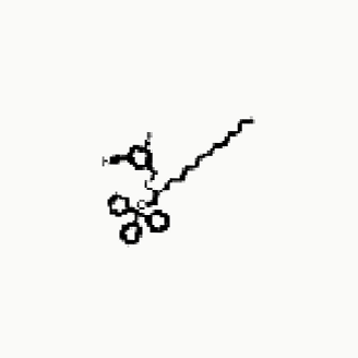 CCCCCCCCCCCCC[C@@H](COC(c1ccccc1)(c1ccccc1)c1ccccc1)OCc1cc(F)cc(C#N)c1